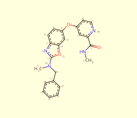 CNC(=O)c1cc(Oc2ccc3nc(N(C)Cc4ccccc4)oc3c2)ccn1